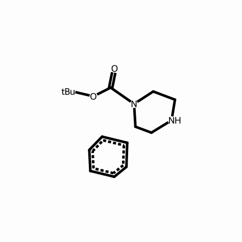 CC(C)(C)OC(=O)N1CCNCC1.c1ccccc1